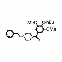 CCCCOc1c(OC)cc(C(=O)N2CCN(CCc3ccccc3)CC2)cc1OC